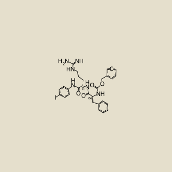 N=C(N)NCCC[C@H](NC(=O)[C@H](Cc1ccccc1)NC(=O)OCc1ccccc1)C(=O)Nc1ccc(I)cc1